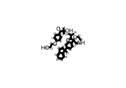 CC(C)(O)C(=O)c1ccc(OCCO)cc1.CC(C)C(=O)C1(c2ccc(C3(C)C=Cc4ccccc43)cc2)CNCCO1